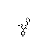 O=C(NCc1ccncc1)C(CO)c1ccc(F)cc1